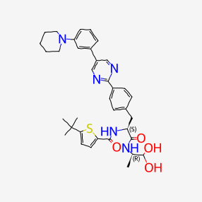 C[C@@H](NC(=O)[C@H](Cc1ccc(-c2ncc(-c3cccc(N4CCCCC4)c3)cn2)cc1)NC(=O)c1ccc(C(C)(C)C)s1)C(O)O